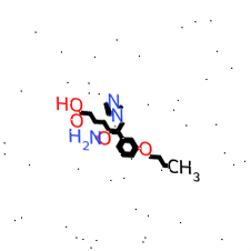 CCCCOc1cccc(C(Cn2ccnc2)=C(CCCC(=O)O)ON)c1